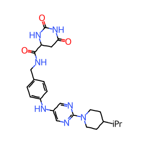 CC(C)C1CCN(c2ncc(Nc3ccc(CNC(=O)C4CC(=O)NC(=O)N4)cc3)cn2)CC1